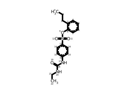 CCCc1ccccc1OS(=O)(=O)c1ccc(NC(=O)NCC)cc1